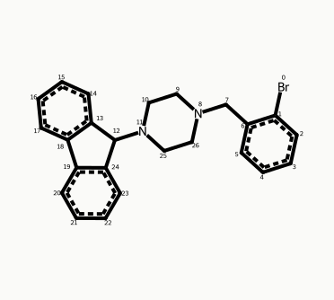 Brc1ccccc1CN1CCN(C2c3ccccc3-c3ccccc32)CC1